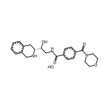 Cl.O=C(NCC(O)[C@H]1Cc2ccccc2CN1)c1ccc(C(=O)N2CCOCC2)cc1